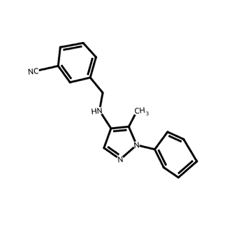 Cc1c(NCc2cccc(C#N)c2)cnn1-c1ccccc1